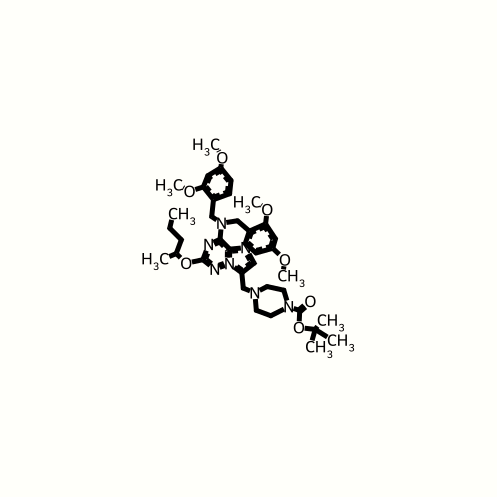 CCCC(C)Oc1nc(N(Cc2ccc(OC)cc2OC)Cc2ccc(OC)cc2OC)c2ncc(CN3CCN(C(=O)OC(C)(C)C)CC3)n2n1